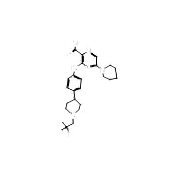 NC(=O)c1ncc(N2CCCCC2)nc1Nc1ccc(C2CCN(CC(F)(F)F)CC2)cc1